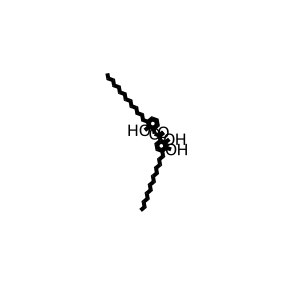 CCCCCCCCCCCCCCc1cccc(OC(=O)c2ccc(CCCCCCCCCCCCCC)c(O)c2O)c1O